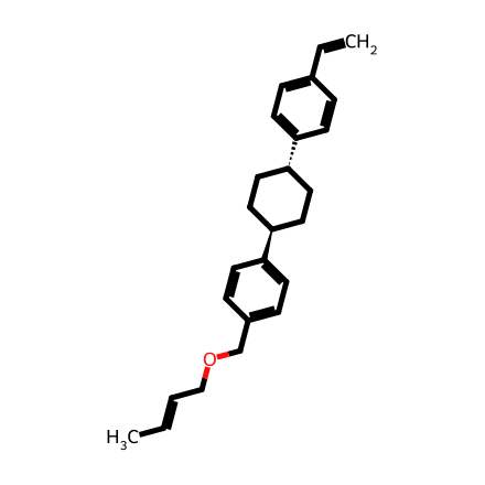 C=Cc1ccc([C@H]2CC[C@H](c3ccc(COC/C=C/C)cc3)CC2)cc1